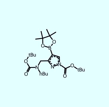 CCCCN(Cc1nn(C(=O)OC(C)(C)C)cc1B1OC(C)(C)C(C)(C)O1)C(=O)OC(C)(C)C